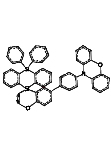 c1ccc([Si]2(c3ccccc3)c3ccccc3[Si]3(c4ccccc4Oc4ccc(-c5ccc(N6c7ccccc7Oc7ccccc76)cc5)cc43)c3ccccc32)cc1